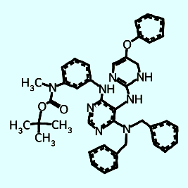 CN(C(=O)OC(C)(C)C)c1cccc(Nc2ncnc(N(Cc3ccccc3)Cc3ccccc3)c2NC2=NC=C(Oc3ccccc3)CN2)c1